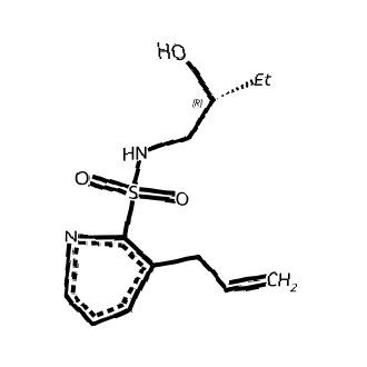 C=CCc1cccnc1S(=O)(=O)NC[C@H](O)CC